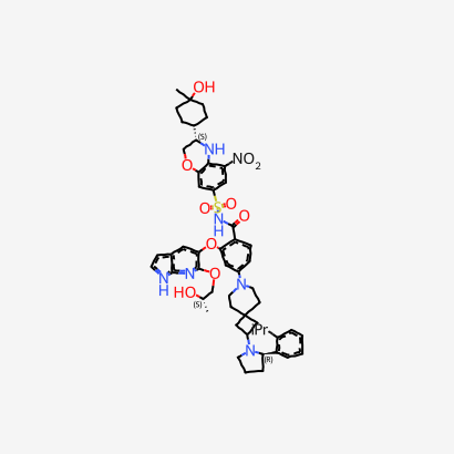 CC(C)c1ccccc1[C@H]1CCCN1C1CC2(CCN(c3ccc(C(=O)NS(=O)(=O)c4cc5c(c([N+](=O)[O-])c4)N[C@@H](C4CCC(C)(O)CC4)CO5)c(Oc4cc5cc[nH]c5nc4OC[C@H](C)O)c3)CC2)C1